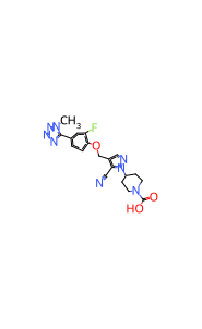 Cn1nnnc1-c1ccc(OCc2cnn(C3CCN(C(=O)O)CC3)c2C#N)c(F)c1